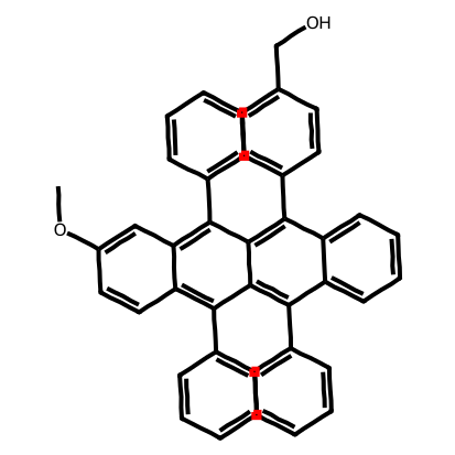 COc1ccc2c(-c3ccccc3)c3c(-c4ccccc4)c4ccccc4c(-c4ccc(CO)cc4)c3c(-c3ccccc3)c2c1